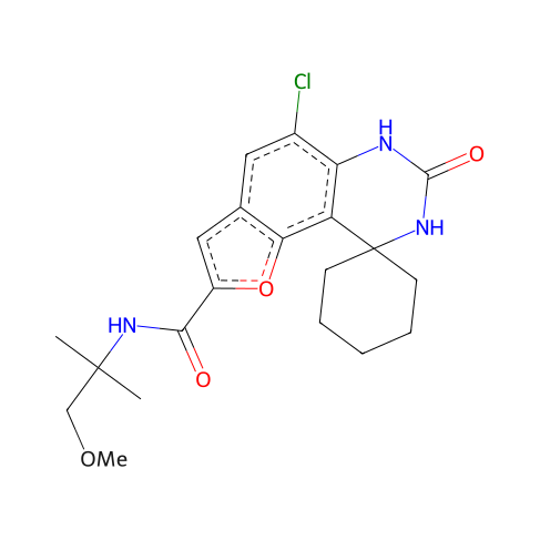 COCC(C)(C)NC(=O)c1cc2cc(Cl)c3c(c2o1)C1(CCCCC1)NC(=O)N3